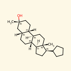 C[C@@]1(O)CC[C@H]2[C@H](CC[C@@H]3[C@@H]2CC[C@]2(C)[C@@H](C4CCCC4)CC[C@@H]32)C1